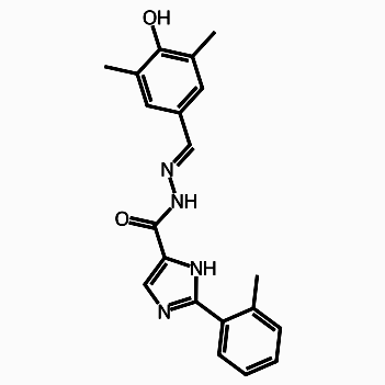 Cc1ccccc1-c1ncc(C(=O)NN=Cc2cc(C)c(O)c(C)c2)[nH]1